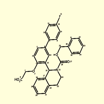 O=C(O)COc1ccc(-c2ccc(F)cc2)cc1C1c2ccccc2CCN1C(=O)OCc1ccccc1